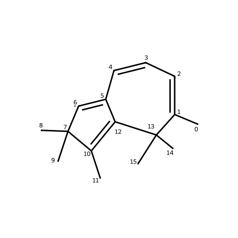 CC1=CC=CC2=[C]C(C)(C)C(C)=C2C1(C)C